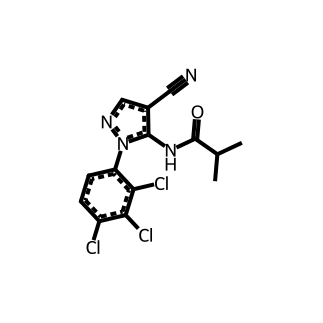 CC(C)C(=O)Nc1c(C#N)cnn1-c1ccc(Cl)c(Cl)c1Cl